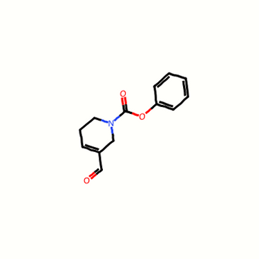 O=CC1=CCCN(C(=O)Oc2ccccc2)C1